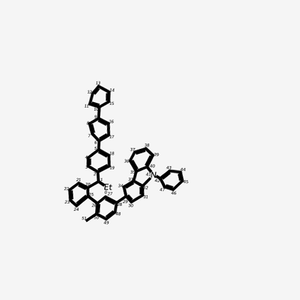 CCC(c1ccc(-c2ccc(-c3ccccc3)cc2)cc1)c1ccccc1-c1cc(-c2ccc3c(c2)c2ccccc2n3-c2ccccc2)ccc1C